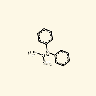 [SiH3]O[SiH3].c1ccc(Pc2ccccc2)cc1